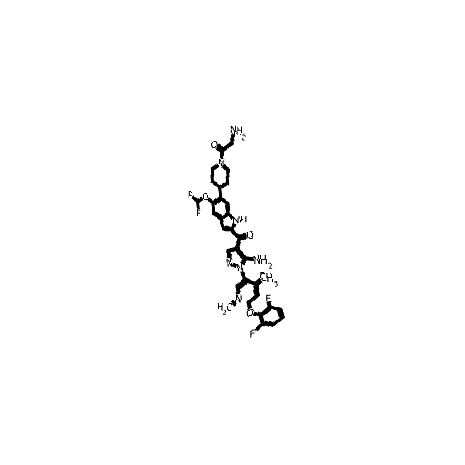 C=N/C=C(\C(C)=C/COc1c(F)cccc1F)n1ncc(C(=O)c2cc3cc(OC(F)F)c(C4CCN(C(=O)CN)CC4)cc3[nH]2)c1N